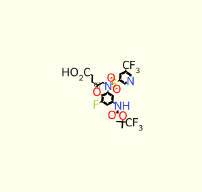 CC(C)(OC(=O)Nc1cc(F)c2c(c1)N(S(=O)(=O)c1cncc(C(F)(F)F)c1)C[C@H](CCC(=O)O)O2)C(F)(F)F